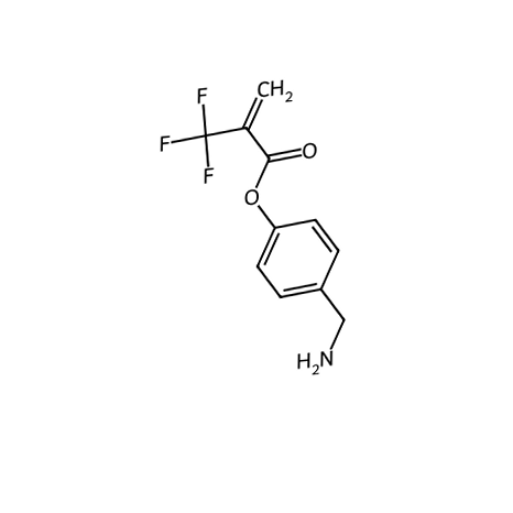 C=C(C(=O)Oc1ccc(CN)cc1)C(F)(F)F